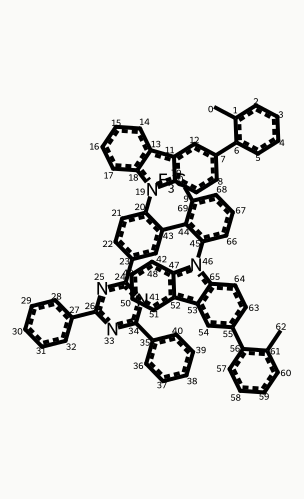 Cc1ccccc1-c1ccc2c(c1)c1ccccc1n2-c1ccc(-c2nc(-c3ccccc3)nc(-c3ccccc3)n2)cc1-c1c(-n2c3ccccc3c3cc(-c4ccccc4C)ccc32)cccc1C(F)(F)F